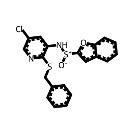 [O-][S+](Nc1cc(Cl)cnc1SCc1ccccc1)c1cc2ccccc2o1